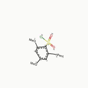 CCCCCc1cc(OC)cc(OC)c1S(=O)(=O)Cl